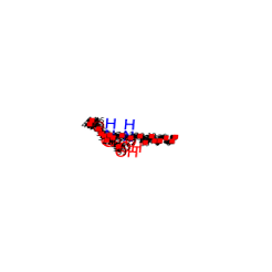 CC/C=C\C/C=C\C/C=C\C/C=C\C/C=C\C/C=C\CCC(=O)NCCCCC(NC(=O)C(C)(C)CCCOc1cc(C)ccc1C)C(=O)OCC(CO)CO